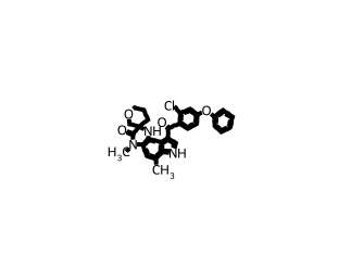 Cc1cc2c(c3c(C(=O)c4ccc(Oc5ccccc5)cc4Cl)c[nH]c13)NC1(CCCOC1)C(=O)N2C